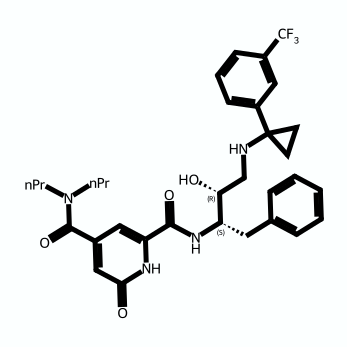 CCCN(CCC)C(=O)c1cc(C(=O)N[C@@H](Cc2ccccc2)[C@H](O)CNC2(c3cccc(C(F)(F)F)c3)CC2)[nH]c(=O)c1